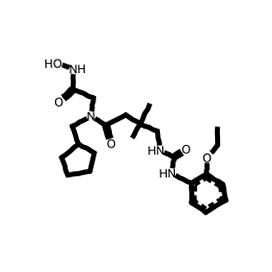 CCOc1ccccc1NC(=O)NCC(C)(C)CC(=O)N(CC(=O)NO)CC1CCCC1